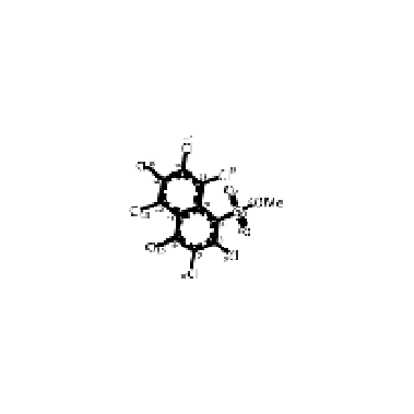 [CH2]OS(=O)(=O)c1c(Cl)c(Cl)c(Cl)c2c(Cl)c(Cl)c(Cl)c(Cl)c12